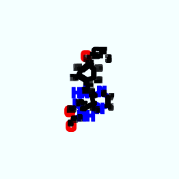 O=c1[nH]c(-c2nccnc2Nc2ccc(OC(F)(F)F)cc2)no1